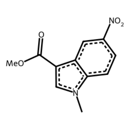 COC(=O)c1cn(C)c2ccc([N+](=O)[O-])cc12